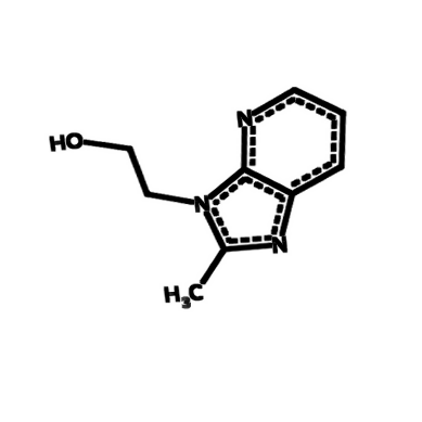 Cc1nc2cccnc2n1CCO